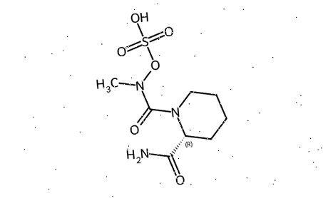 CN(OS(=O)(=O)O)C(=O)N1CCCC[C@@H]1C(N)=O